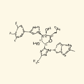 Cc1nc2ccc(-n3nc(C(F)(F)F)nc3[C@@H]3O[C@H](CO)[C@H](O)[C@H](n4cc(-c5cc(F)c(F)c(F)c5)nn4)[C@H]3O)cc2s1